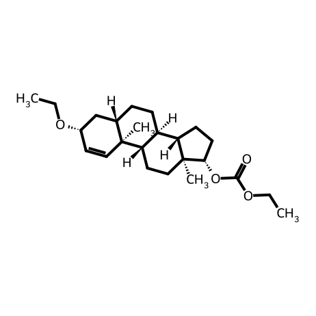 CCOC(=O)O[C@H]1CC[C@H]2[C@@H]3CC[C@H]4C[C@@H](OCC)C=C[C@]4(C)[C@H]3CC[C@]12C